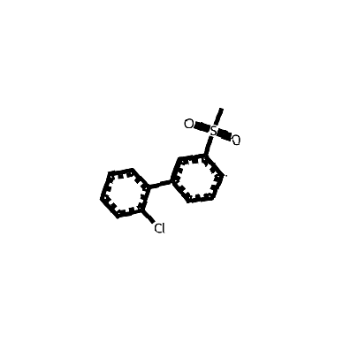 CS(=O)(=O)c1[c]ccc(-c2ccccc2Cl)c1